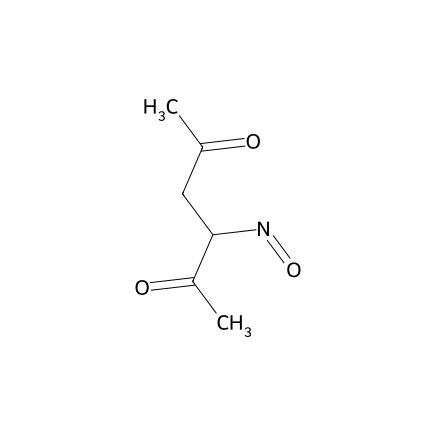 CC(=O)CC(N=O)C(C)=O